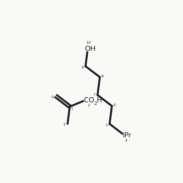 C=C(C)C(=O)O.CC(C)CCCCCO